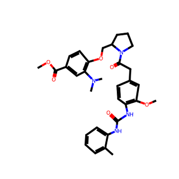 COC(=O)c1ccc(OCC2CCCN2C(=O)Cc2ccc(NC(=O)Nc3ccccc3C)c(OC)c2)c(N(C)C)c1